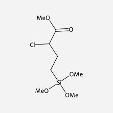 COC(=O)C(Cl)CC[Si](OC)(OC)OC